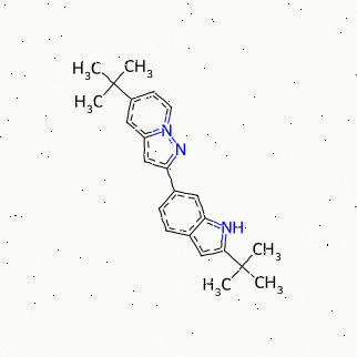 CC(C)(C)c1ccn2nc(-c3ccc4cc(C(C)(C)C)[nH]c4c3)cc2c1